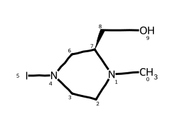 CN1CCN(I)C[C@H]1CO